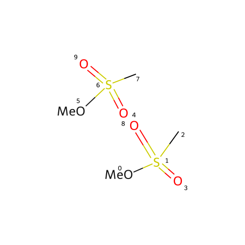 COS(C)(=O)=O.COS(C)(=O)=O